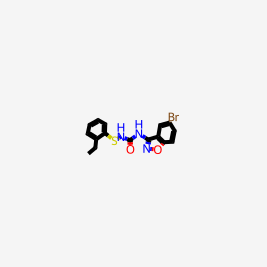 CCc1ccccc1SNC(=O)Nc1noc2ccc(Br)cc12